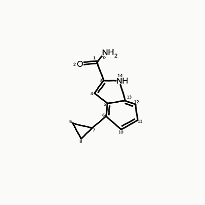 NC(=O)c1cc2c(C3CC3)cccc2[nH]1